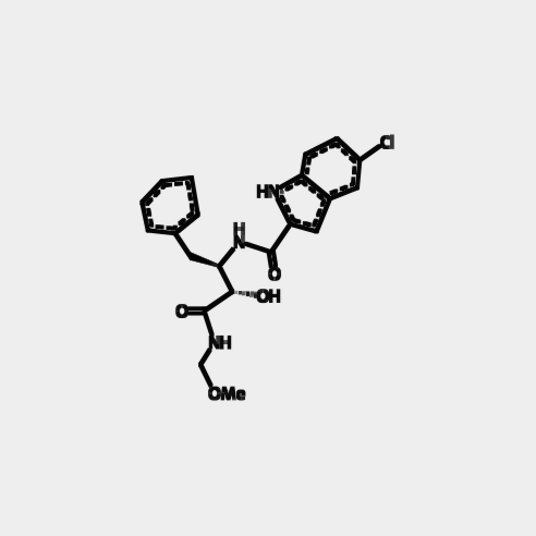 COCNC(=O)[C@@H](O)[C@@H](Cc1ccccc1)NC(=O)c1cc2cc(Cl)ccc2[nH]1